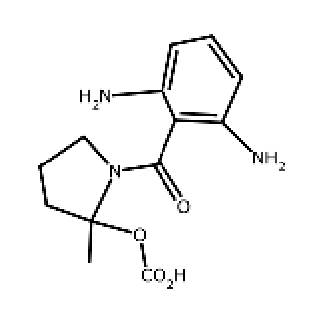 CC1(OC(=O)O)CCCN1C(=O)c1c(N)cccc1N